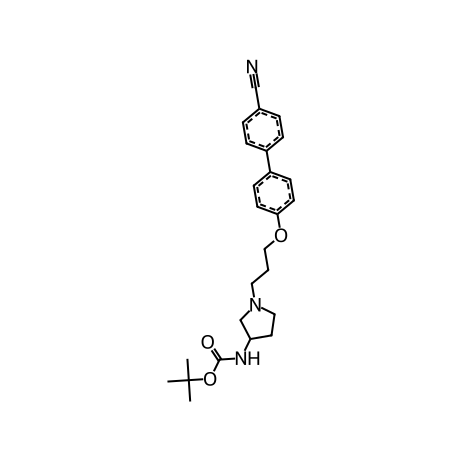 CC(C)(C)OC(=O)NC1CCN(CCCOc2ccc(-c3ccc(C#N)cc3)cc2)C1